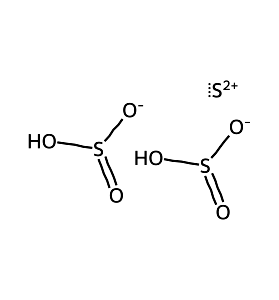 O=S([O-])O.O=S([O-])O.[S+2]